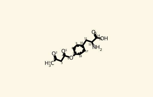 CC(=O)CC(=O)Oc1ccc(CC(N)C(=O)O)cc1